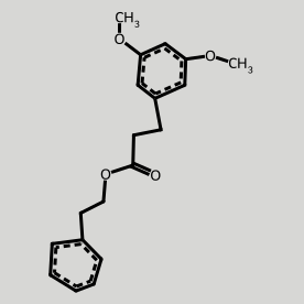 COc1cc(CCC(=O)OCCc2ccccc2)cc(OC)c1